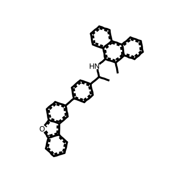 Cc1c(NC(C)c2ccc(-c3ccc4oc5ccccc5c4c3)cc2)c2ccccc2c2ccccc12